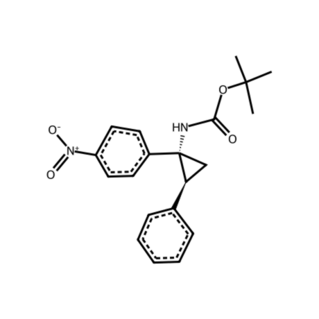 CC(C)(C)OC(=O)N[C@]1(c2ccc([N+](=O)[O-])cc2)C[C@H]1c1ccccc1